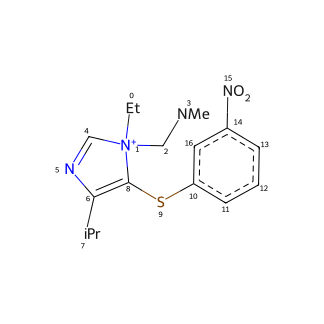 CC[N+]1(CNC)C=NC(C(C)C)=C1Sc1cccc([N+](=O)[O-])c1